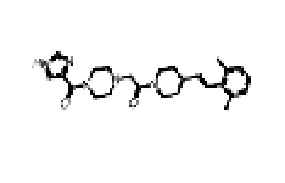 Cc1cccc(C)c1/C=C/C1CCN(C(=O)CN2CCN(C(=O)c3c[nH]cn3)CC2)CC1